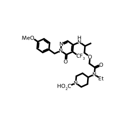 CCN(C(=O)COCC(C)Nc1cnn(Cc2ccc(OC)cc2)c(=O)c1C(F)(F)F)C1CCN(C(=O)O)CC1